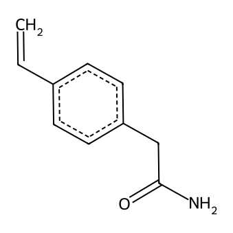 C=Cc1ccc(CC(N)=O)cc1